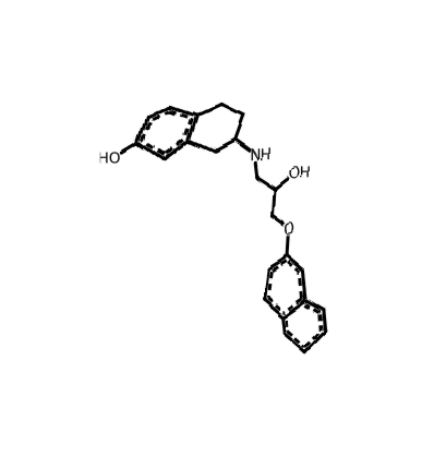 Oc1ccc2c(c1)CC(NCC(O)COc1ccc3ccccc3c1)CC2